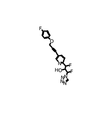 OC(C(F)c1ccc(C#CCOc2ccc(F)cc2)cn1)C(F)n1cnnn1